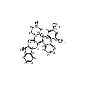 O=C(C(=C(Cc1c[nH]c2ccccc12)C(=O)N1CCNCC1)c1cccnc1)c1cc(C(F)(F)F)cc(C(F)(F)F)c1